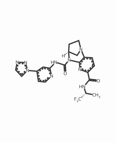 C[C@@H](NC(=O)c1ccc2c(n1)N(C(=O)Nc1cc(-n3ccnn3)ccn1)[C@H]1CCN2C1)C(F)(F)F